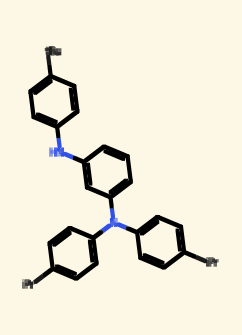 CC(C)c1ccc(N(c2ccc(C(C)C)cc2)c2cccc(Nc3ccc(C(C)(C)C)cc3)c2)cc1